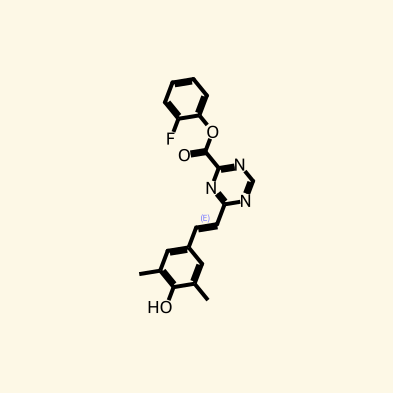 Cc1cc(/C=C/c2ncnc(C(=O)Oc3ccccc3F)n2)cc(C)c1O